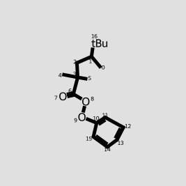 CC(CC(C)(C)C(=O)OOc1ccccc1)C(C)(C)C